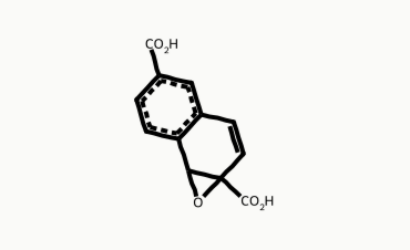 O=C(O)c1ccc2c(c1)C=CC1(C(=O)O)OC21